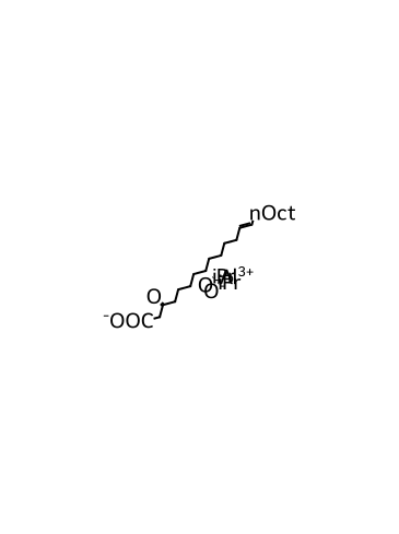 CC(C)[O-].CC(C)[O-].CCCCCCCCC=CCCCCCCCCCC(=O)CC(=O)[O-].[Al+3]